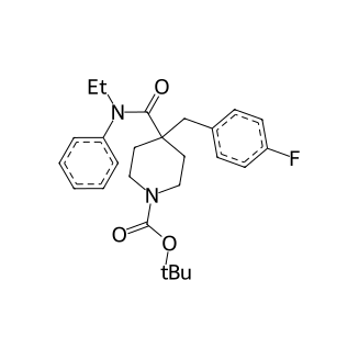 CCN(C(=O)C1(Cc2ccc(F)cc2)CCN(C(=O)OC(C)(C)C)CC1)c1ccccc1